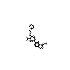 Cc1c(C(=O)N[C@H](C(=O)OCCN2CCCC2)C(C)C)ccc2c1B(O)OC2